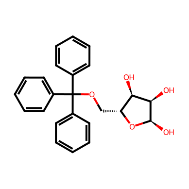 O[C@@H]1[C@H](O)[C@@H](COC(c2ccccc2)(c2ccccc2)c2ccccc2)O[C@@H]1O